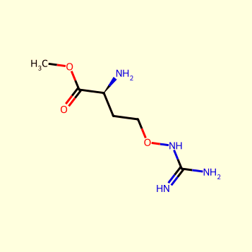 COC(=O)[C@@H](N)CCONC(=N)N